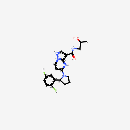 CC(O)CNC(=O)c1cnn2ccc(N3CCCC3c3cc(F)ccc3F)nc12